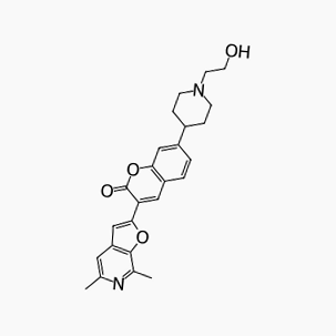 Cc1cc2cc(-c3cc4ccc(C5CCN(CCO)CC5)cc4oc3=O)oc2c(C)n1